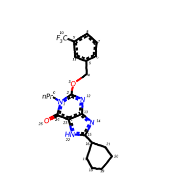 CCCn1c(OCc2cccc(C(F)(F)F)c2)nc2nc(C3CCCCC3)[nH]c2c1=O